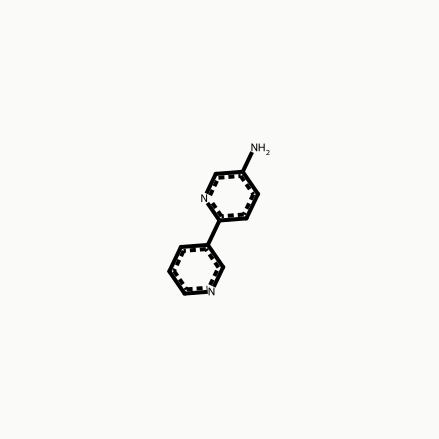 Nc1ccc(-c2cccnc2)nc1